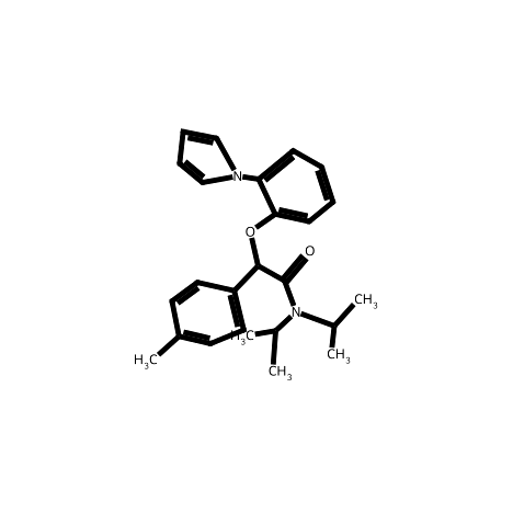 Cc1ccc(C(Oc2ccccc2-n2cccc2)C(=O)N(C(C)C)C(C)C)cc1